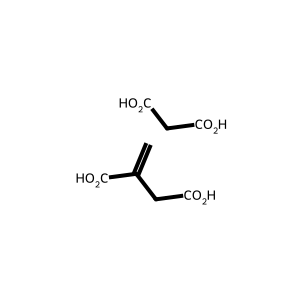 C=C(CC(=O)O)C(=O)O.O=C(O)CC(=O)O